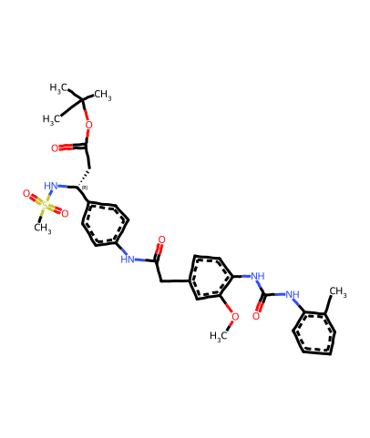 COc1cc(CC(=O)Nc2ccc([C@@H](CC(=O)OC(C)(C)C)NS(C)(=O)=O)cc2)ccc1NC(=O)Nc1ccccc1C